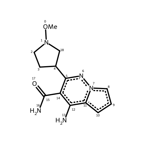 CON1CCC(c2nn3cccc3c(N)c2C(N)=O)C1